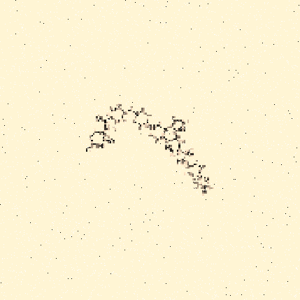 O=C1CCN(N2Cc3cc(CN4CCC(N5CCN(c6ncc(C(=O)Nc7ccc(OC(F)(F)Cl)cc7)cc6-c6cc[nH]n6)CC5)CC4)ccc3C2=O)C(=O)N1